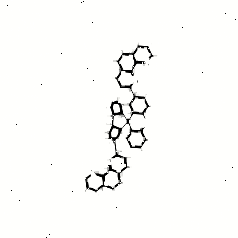 c1ccc2c(c1)Sc1ccc(-c3ccc4ccc5cccnc5c4n3)cc1C21c2ccccc2-c2ccc(-c3ccc4ccc5cccnc5c4n3)cc21